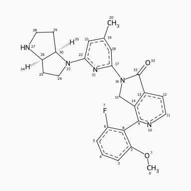 COc1cccc(F)c1-c1nccc2c1CN(c1cc(C)cc(N3CC[C@H]4NCC[C@H]43)n1)C2=O